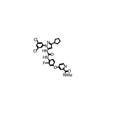 CNC(=O)c1cc(Oc2ccc(NC(=O)Nc3cc(C4CCCC4)nn3-c3cc(Cl)cc(Cl)c3)c(F)c2)ccn1